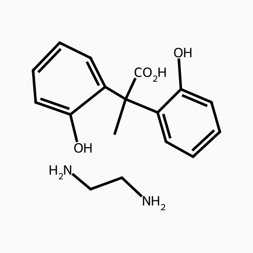 CC(C(=O)O)(c1ccccc1O)c1ccccc1O.NCCN